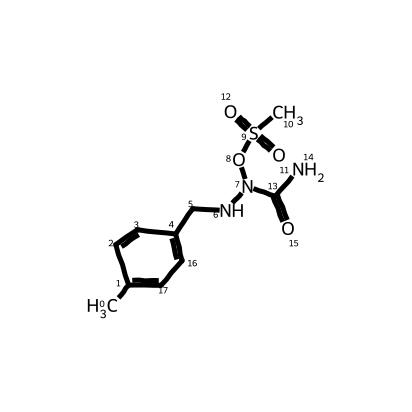 Cc1ccc(CNN(OS(C)(=O)=O)C(N)=O)cc1